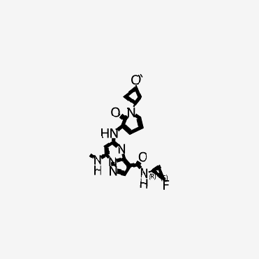 CNc1cc(Nc2cccn([C@H]3C[C@@H](OC)C3)c2=O)nc2c(C(=O)N[C@@H]3C[C@@H]3F)cnn12